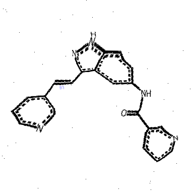 O=C(Nc1ccc2[nH]nc(/C=C/c3cccnc3)c2c1)c1cccnc1